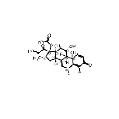 CCCC(=O)O[C@]1(C(=O)CO)[C@@H](C)C[C@H]2[C@@H]3C[C@H](F)C4=C(F)C(=O)C=C[C@]4(C)[C@@]3(F)[C@@H](O)C[C@@]21C